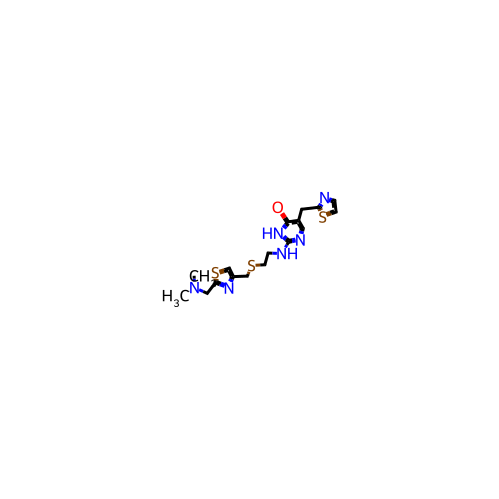 CN(C)Cc1nc(CSCCNc2ncc(Cc3nccs3)c(=O)[nH]2)cs1